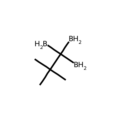 BC(B)(B)C(C)(C)C